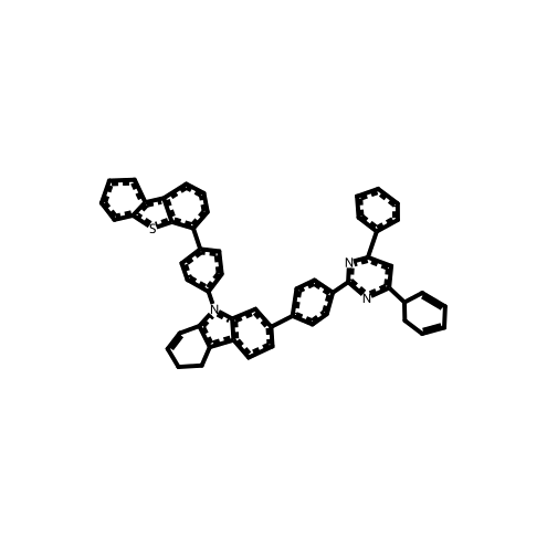 C1=CCC(c2cc(-c3ccccc3)nc(-c3ccc(-c4ccc5c6c(n(-c7ccc(-c8cccc9c8sc8ccccc89)cc7)c5c4)C=CCC6)cc3)n2)C=C1